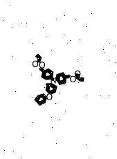 C=CC(=O)OCc1ccc(N(c2ccc(COC(=O)C=C)cc2)c2ccc(Oc3ccccc3)cc2)cc1